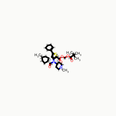 CN1CCC(N(c2cc(C3=CCCCC3)sc2C(=O)OCOC(=O)C(C)(C)C)C(=O)[C@H]2CC[C@H](C)CC2)CC1